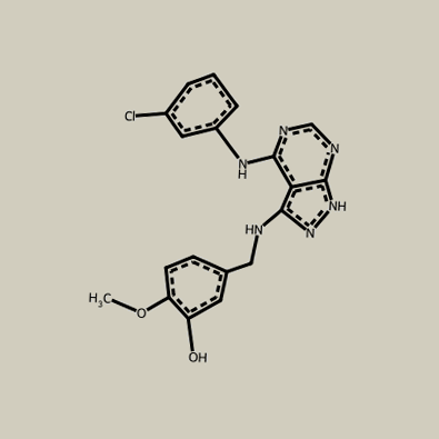 COc1ccc(CNc2n[nH]c3ncnc(Nc4cccc(Cl)c4)c23)cc1O